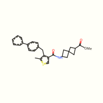 COC(=O)C1CC2(CC(NC(=O)c3csc(C)c3Cc3ccc(-c4ccccc4)cc3)C2)C1